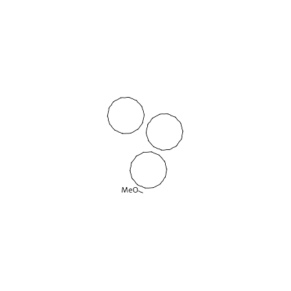 C1CCCCCCCCCCCCC1.C1CCCCCCCCCCCCC1.C1CCCCCCCCCCCCC1.COC